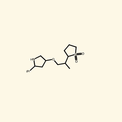 CC(C)C1CC(OCC(C)C2CCCS2(=O)=O)CN1